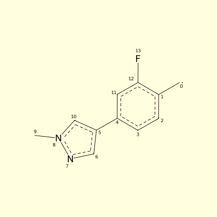 [CH2]c1ccc(-c2cnn(C)c2)cc1F